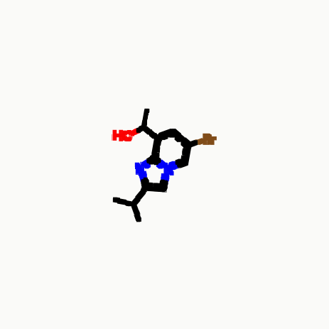 CC(C)c1cn2cc(Br)cc(C(C)O)c2n1